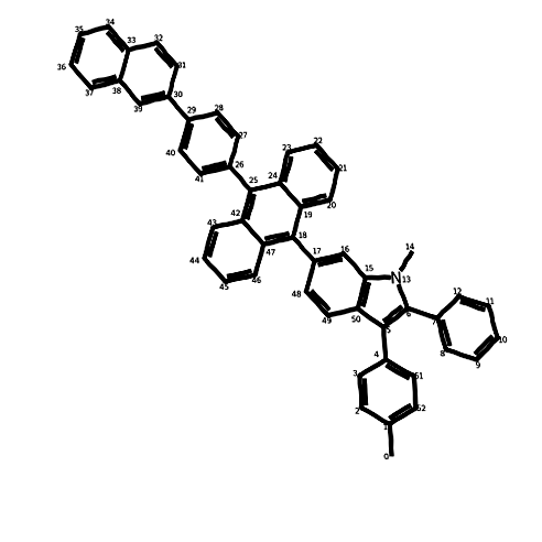 Cc1ccc(-c2c(-c3ccccc3)n(C)c3cc(-c4c5ccccc5c(-c5ccc(-c6ccc7ccccc7c6)cc5)c5ccccc45)ccc23)cc1